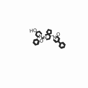 O=C(N1CC[C@@H](Cn2ccc(-c3ccccc3)cc2=O)C2(CCCC2)C1)N1CC[C@@H](O)C[C@H]1c1ccccc1